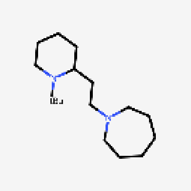 CC(C)(C)N1CCCCC1CCN1CCCCCC1